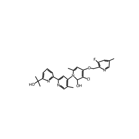 CC1=CC(OCc2ncc(C)cc2F)=C(Cl)C(O)N1c1cc(-c2cccc(C(C)(C)O)n2)ncc1C